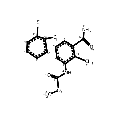 COC(=O)Nc1cccc(C(N)=O)c1C.Clc1ccccc1Cl